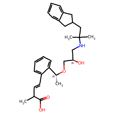 CC(C=Cc1ccccc1[C@@H](C)OC[C@H](O)CNC(C)(C)CC1Cc2ccccc2C1)C(=O)O